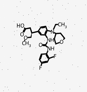 CCN(c1ccc([C@@H](COC)CC(=O)O)cc1NC(=O)Nc1ccc(F)cc1F)C1CCOCC1